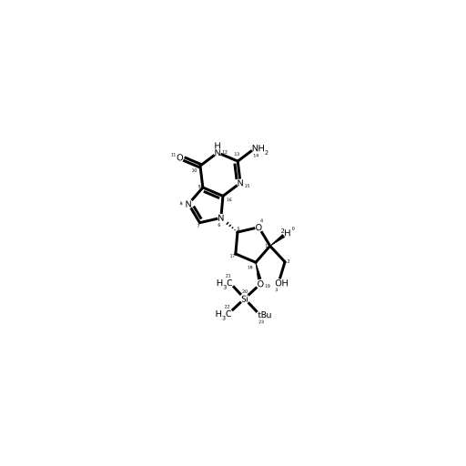 [2H][C@]1(CO)O[C@@H](n2cnc3c(=O)[nH]c(N)nc32)C[C@@H]1O[Si](C)(C)C(C)(C)C